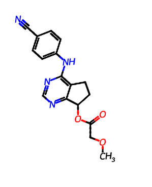 COCC(=O)OC1CCc2c(Nc3ccc(C#N)cc3)ncnc21